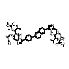 CCCN(Cc1ncc(-c2ccc3cc(-c4ccc(-c5cnc(CN(C[C@@H](C)C#N)C(=O)[C@@H](NC(=O)OC)C(C)C)[nH]5)cc4)ccc3c2)[nH]1)C(=O)[C@@H](NC(=O)OC)C(C)C